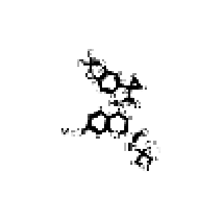 COc1ccc2c(c1)O[C@@H](C(=O)NC1(C(F)(F)F)COC1)C[C@H]2NC(=O)C1(c2ccc3c(c2)OC(F)(F)O3)CC1